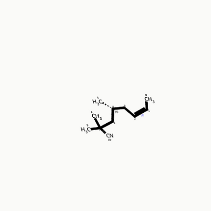 C/C=C\C[C@@H](C)CC(C)(C)C#N